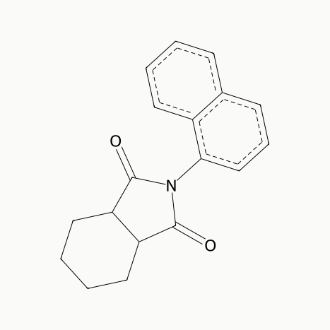 O=C1C2CCCCC2C(=O)N1c1cccc2ccccc12